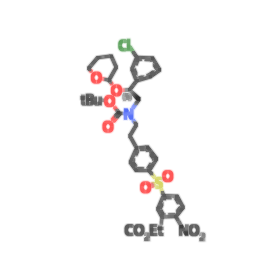 CCOC(=O)c1cc(S(=O)(=O)c2ccc(CCN(C[C@@H](OC3CCCCO3)c3cccc(Cl)c3)C(=O)OC(C)(C)C)cc2)ccc1[N+](=O)[O-]